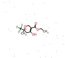 CCOC(=O)C1=C(O)C[C@](C)(C(F)(F)F)OC1